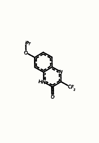 CC(C)Oc1ccc2nc(C(F)(F)F)c(=O)[nH]c2c1